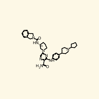 NC(=O)c1ncc(N2CCC[C@@H](NC(=O)N3Cc4ccccc4C3)C2)nc1Nc1ccc(C2CCN(C3CCCC3)CC2)cc1